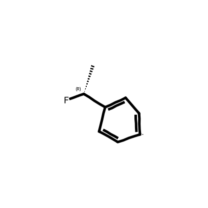 C[C@@H](F)c1cc[c]cc1